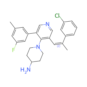 C/C(=C/c1cncc(-c2cc(C)cc(F)c2)c1N1CCC(N)CC1)c1cccc(Cl)c1